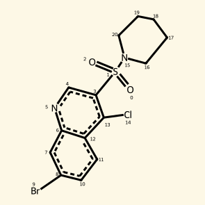 O=S(=O)(c1cnc2cc(Br)ccc2c1Cl)N1CCCCC1